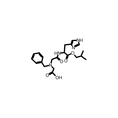 CC(C)COC(=O)C(Cc1c[nH]cn1)NC(=O)CN(CC(=O)O)Cc1ccccc1